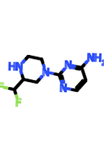 Nc1ccnc(N2CCNC(C(F)F)C2)n1